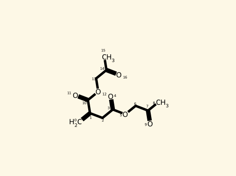 C=C(CC(=O)OCC(C)=O)C(=O)OCC(C)=O